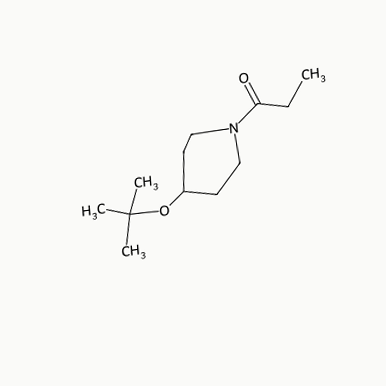 CCC(=O)N1CCC(OC(C)(C)C)CC1